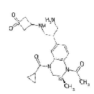 CC(=O)N1c2ccc(C(CN)CNC3CS(=O)(=O)C3)cc2N(C(=O)C2CC2)C[C@@H]1C